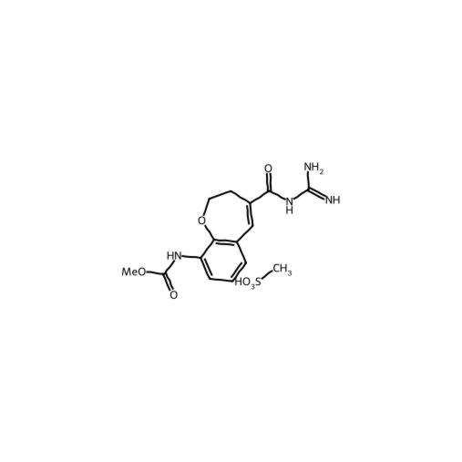 COC(=O)Nc1cccc2c1OCCC(C(=O)NC(=N)N)=C2.CS(=O)(=O)O